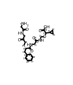 NCC(=O)NCC(=O)CC[C@@H](Cc1ccccc1)C(=O)NCC(=O)NCOC(C(=O)O)C1CC1